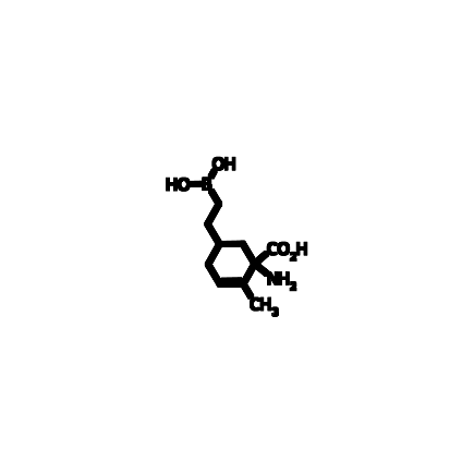 CC1=CCC(CCB(O)O)CC1(N)C(=O)O